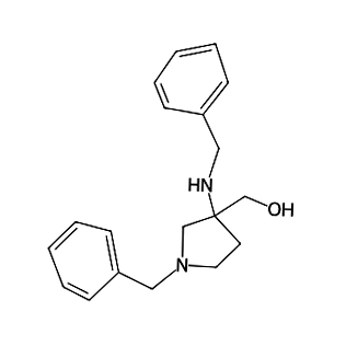 OCC1(NCc2ccccc2)CCN(Cc2ccccc2)C1